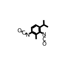 Cc1c(N=C=O)ccc(C(C)C)c1N=C=O